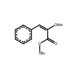 CCCCOC(=O)C(=Cc1ccccc1)OC